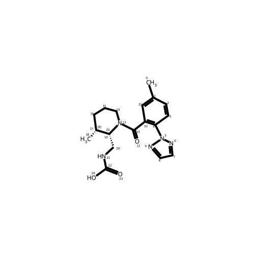 Cc1ccc(-n2nccn2)c(C(=O)N2CCC[C@@H](C)[C@H]2CNC(=O)O)c1